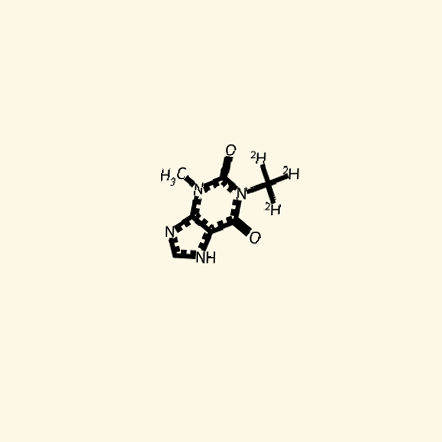 [2H]C([2H])([2H])n1c(=O)c2[nH]cnc2n(C)c1=O